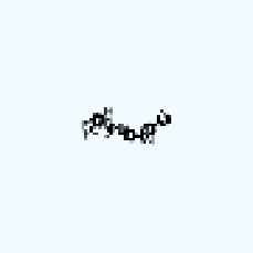 O=C(NCc1ccc(-c2cnc3cc(-c4cccnc4)ccn23)cc1)Nc1cccc(C(F)(F)F)c1